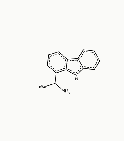 CCCCC(N)c1cccc2c1[nH]c1ccccc12